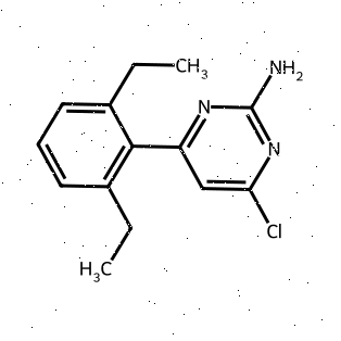 CCc1cccc(CC)c1-c1cc(Cl)nc(N)n1